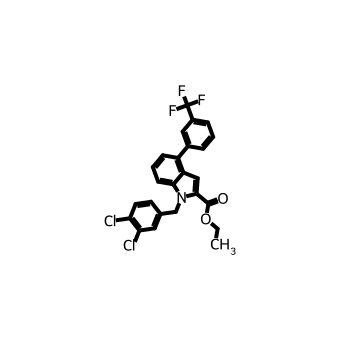 CCOC(=O)c1cc2c(-c3cccc(C(F)(F)F)c3)cccc2n1Cc1ccc(Cl)c(Cl)c1